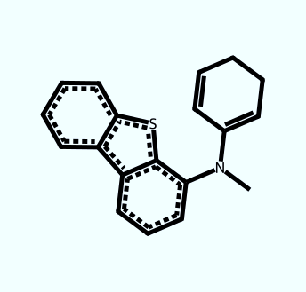 CN(C1=CCCC=C1)c1cccc2c1sc1ccccc12